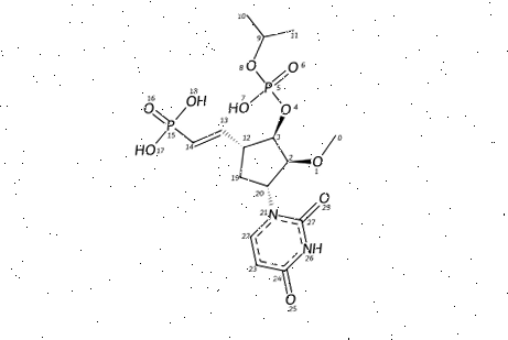 CO[C@@H]1[C@H](OP(=O)(O)OC(C)C)[C@@H](/C=C/P(=O)(O)O)C[C@H]1n1ccc(=O)[nH]c1=O